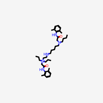 CCCCN(CCCCCNCC[N+](CCC)(CCC)CC(=O)Nc1c(C)cccc1C)CC(=O)Nc1c(C)cccc1C